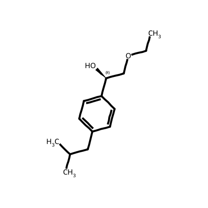 CCOC[C@H](O)c1ccc(CC(C)C)cc1